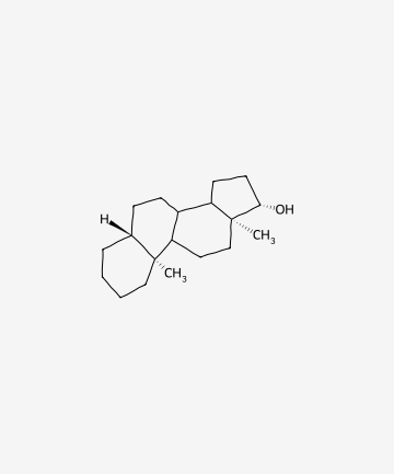 C[C@]12CCC3C(CC[C@H]4CCCC[C@]34C)C1CC[C@@H]2O